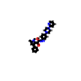 Cc1cc(-c2ccccc2)c(C(=O)C(=O)Nc2ccc(N3CCN(c4ccccn4)CC3)cc2)n1C